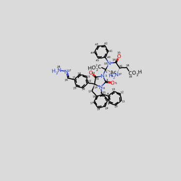 CC(=O)[C@@](C(=O)O)(N1C(=O)N(Cc2ccccc2)[C@](Cc2ccccc2)(c2ccc(C=NN)cc2)C1=O)N(C(=O)[C@@H](N)CC(=O)O)c1ccccc1